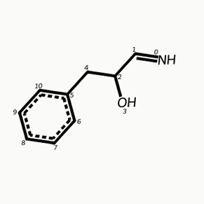 N=CC(O)Cc1ccccc1